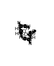 CC(C)(C)OC(=O)n1ccc2c(Cl)cc(Nc3cc(N4CCN(CC(F)(F)F)CC4)cc(C#N)n3)cc21.N#Cc1cc(N2CCN(CC(F)(F)F)CC2)cc(Nc2cc(Cl)c3cc[nH]c3c2)n1